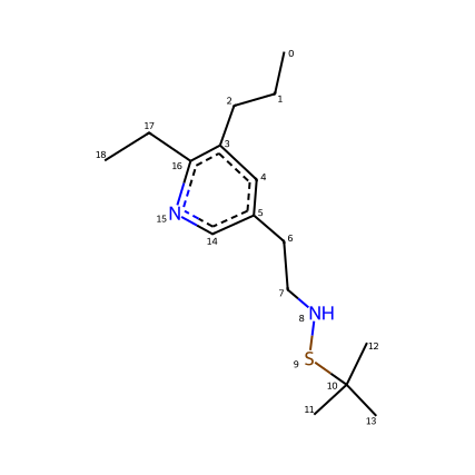 CCCc1cc(CCNSC(C)(C)C)cnc1CC